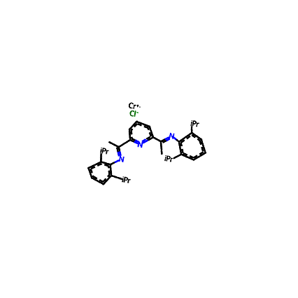 CC(=Nc1c(C(C)C)cccc1C(C)C)c1cccc(C(C)=Nc2c(C(C)C)cccc2C(C)C)n1.[Cl-].[Cr+]